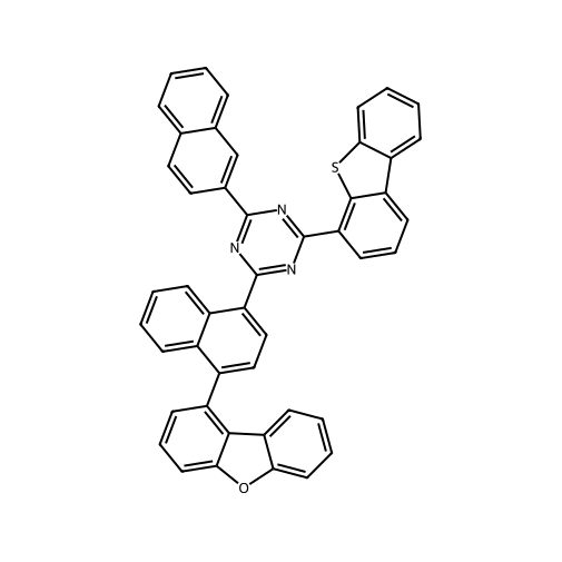 c1ccc2cc(-c3nc(-c4ccc(-c5cccc6oc7ccccc7c56)c5ccccc45)nc(-c4cccc5c4sc4ccccc45)n3)ccc2c1